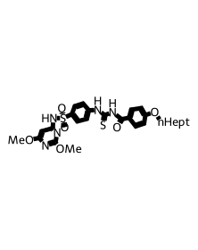 CCCCCCCOc1ccc(C(=O)NC(=S)Nc2ccc(S(=O)(=O)Nc3cc(OC)nc(OC)n3)cc2)cc1